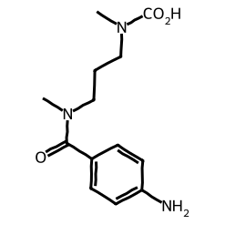 CN(CCCN(C)C(=O)c1ccc(N)cc1)C(=O)O